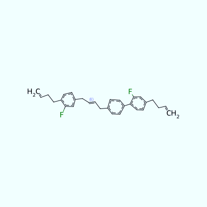 C=CCCc1ccc(-c2ccc(C/C=C/Cc3ccc(CCC=C)c(F)c3)cc2)c(F)c1